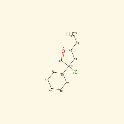 CCCCC(Cl)(C=O)C1CCCCC1